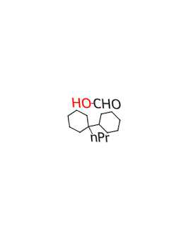 CCCC1(C2CCCCC2)CCCCC1.O=CO